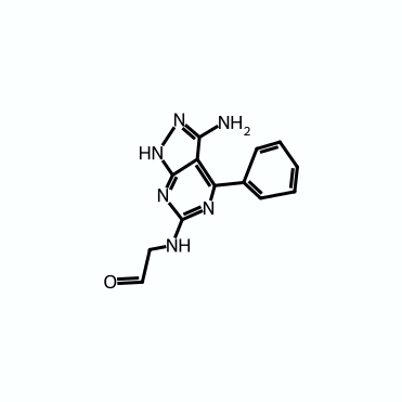 Nc1n[nH]c2nc(NCC=O)nc(-c3ccccc3)c12